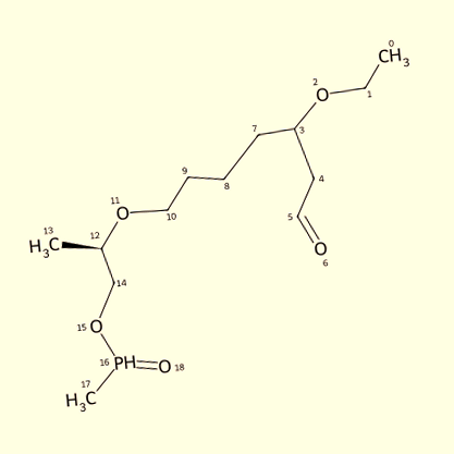 CCOC(CC=O)CCCCO[C@H](C)CO[PH](C)=O